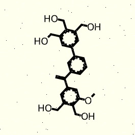 C=C(c1cccc(-c2cc(CO)c(CO)c(CO)c2)c1)c1cc(CO)c(CO)c(OC)c1